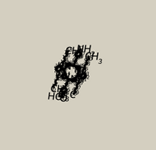 CCCCCCOc1cccc(OCCCCCC)c1-c1c2nc(c(C#Cc3ccc(C(=O)O)cc3)c3ccc([nH]3)c(-c3c(OCCCCCC)cccc3OCCCCCC)c3nc(c(C#Cc4ccc(N)cc4)c4ccc1[nH]4)C=C3)C=C2